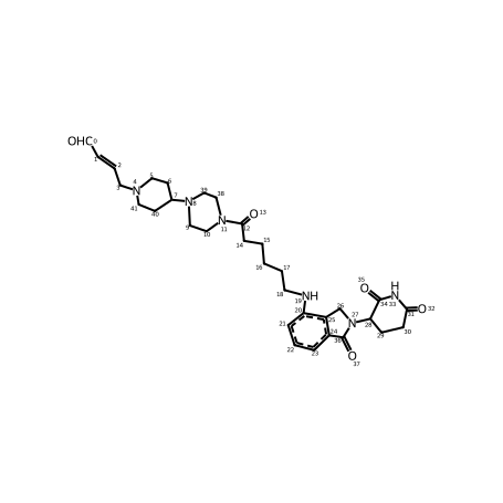 O=C/C=C/CN1CCC(N2CCN(C(=O)CCCCCNc3cccc4c3CN(C3CCC(=O)NC3=O)C4=O)CC2)CC1